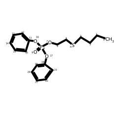 CCCCSCCOP(=O)(Oc1ccccc1)Oc1ccccc1